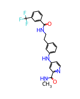 CNC(=O)c1cc(Nc2cccc(CCNC(=O)c3cccc(C(F)(F)F)c3)c2)ccn1